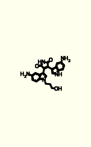 Nc1ccc2[nH]cc(C3=C(c4cn(CCCO)c5ccc(N)cc45)C(=O)NC3=O)c2c1